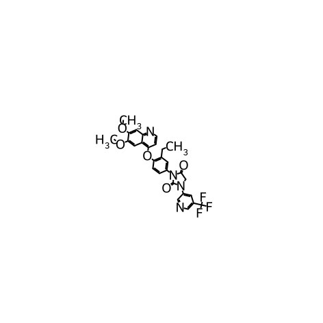 CCc1cc(N2C(=O)CN(c3cncc(C(F)(F)F)c3)C2=O)ccc1Oc1ccnc2cc(OC)c(OC)cc12